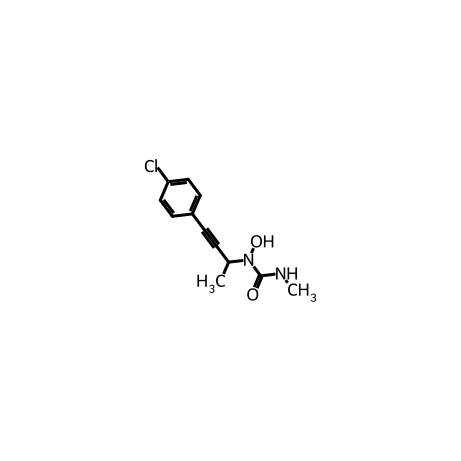 CNC(=O)N(O)C(C)C#Cc1ccc(Cl)cc1